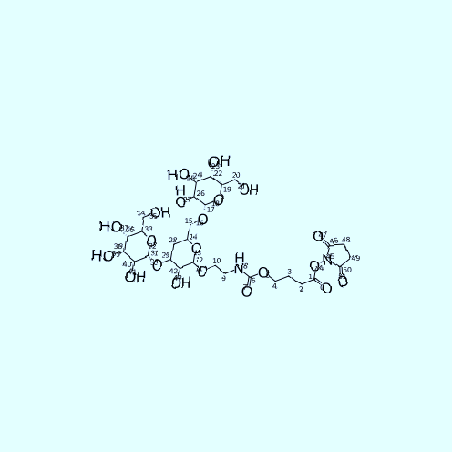 O=C(CCCOC(=O)NCCOC1OC(CO[C@H]2OC(CO)[C@@H](O)C(O)C2O)CC(O[C@H]2OC(CO)[C@@H](O)C(O)C2O)C1O)ON1C(=O)CCC1=O